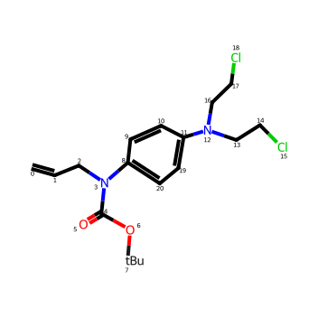 C=CCN(C(=O)OC(C)(C)C)c1ccc(N(CCCl)CCCl)cc1